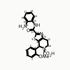 COc1ccccc1C1c2sc(C(=O)Nc3ccccc3N)nc2CCN1C(=O)O